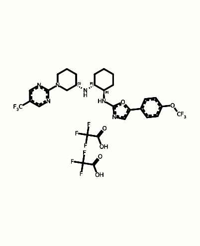 FC(F)(F)Oc1ccc(-c2cnc(N[C@@H]3CCCC[C@H]3N[C@H]3CCCN(c4ncc(C(F)(F)F)cn4)C3)o2)cc1.O=C(O)C(F)(F)F.O=C(O)C(F)(F)F